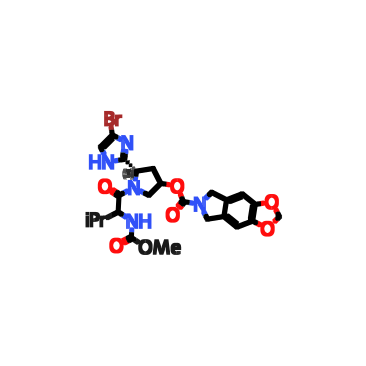 COC(=O)NC(C(=O)N1CC(OC(=O)N2Cc3cc4c(cc3C2)OCO4)C[C@H]1c1nc(Br)c[nH]1)C(C)C